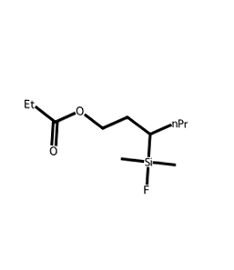 CCCC(CCOC(=O)CC)[Si](C)(C)F